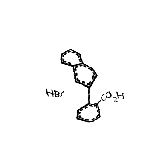 Br.O=C(O)c1ccccc1-c1ccc2ccccc2c1